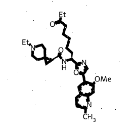 CCC(=O)CCCCC[C@H](NC(=O)[C@H]1CC12CCN(CC)CC2)c1ncc(-c2cc3ccc(C)nc3cc2OC)o1